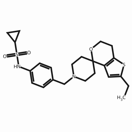 CCc1cc2c(s1)CCOC21CCN(Cc2ccc(NS(=O)(=O)C3CC3)cc2)CC1